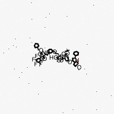 COc1ccc2c(O[C@@H]3CC(C(=O)N[C@H](CCOc4cccc(CC(NC(=O)OCc5ccccc5)C(=O)Oc5c(F)c(F)c(F)c(F)c5F)c4)C(=O)O)N(C(=O)OC(C)(C)C)C3)cc(-c3ccccc3)nc2c1